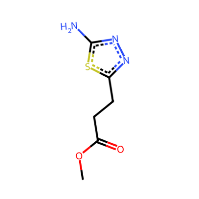 COC(=O)CCc1nnc(N)s1